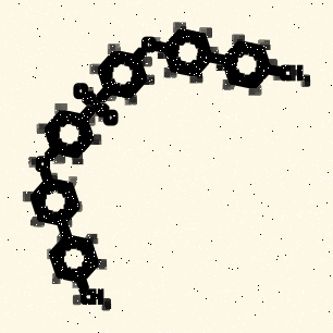 Cc1ccc(-c2ccc(Oc3ccc(S(=O)(=O)c4ccc(Oc5ccc(-c6ccc(C)cc6)cc5)cc4)cc3)cc2)cc1